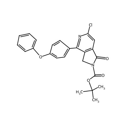 CC(C)(C)OC(=O)N1Cc2c(cc(Cl)nc2-c2ccc(Oc3ccccc3)cc2)C1=O